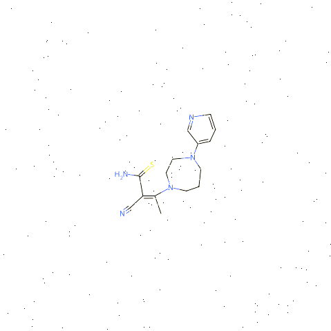 C/C(=C(\C#N)C(N)=S)N1CCCN(c2cccnc2)CC1